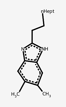 CCCCCCCCCc1nc2cc(C)c(C)cc2[nH]1